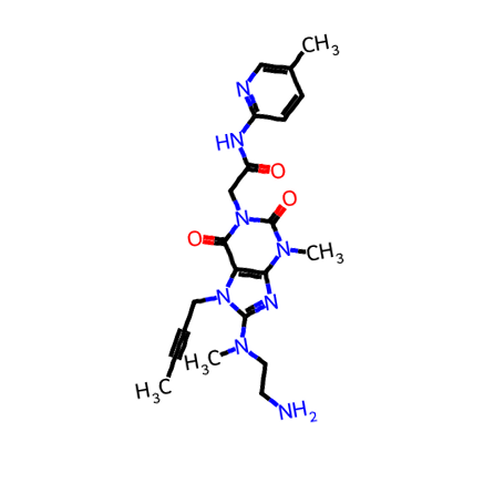 CC#CCn1c(N(C)CCN)nc2c1c(=O)n(CC(=O)Nc1ccc(C)cn1)c(=O)n2C